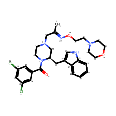 CC(CN1CCN(C(=O)c2cc(Cl)cc(Cl)c2)[C@H](Cc2c[nH]c3ccccc23)C1)=NOCCN1CCOCC1